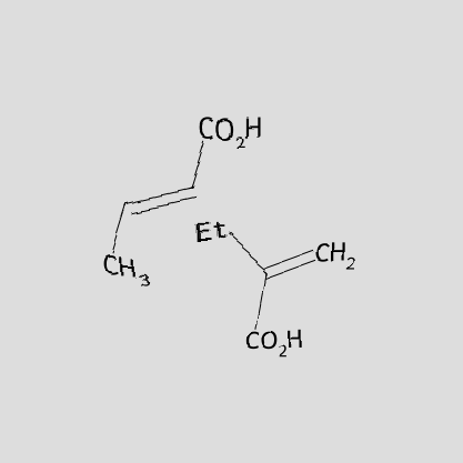 C=C(CC)C(=O)O.CC=CC(=O)O